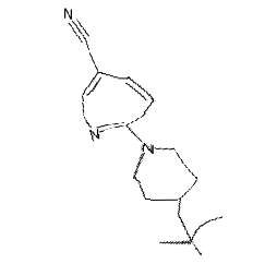 CC(C)(C)C1CCN(c2ccc(C#N)cn2)CC1